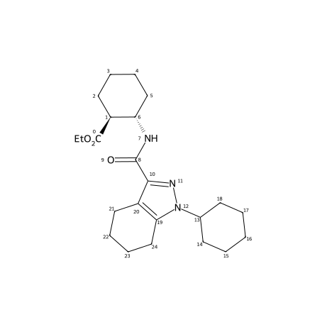 CCOC(=O)[C@H]1CCCC[C@@H]1NC(=O)c1nn(C2CCCCC2)c2c1CCCC2